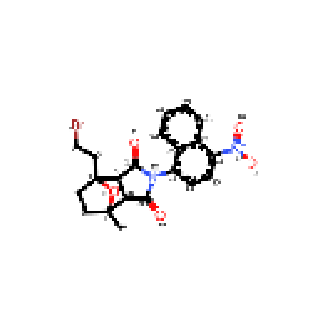 CC12CCC(CCBr)(O1)C1C(=O)N(c3ccc([N+](=O)[O-])c4ccccc34)C(=O)C12